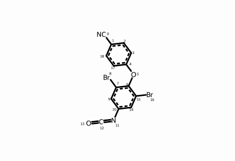 N#Cc1ccc(Oc2c(Br)cc(N=C=O)cc2Br)cc1